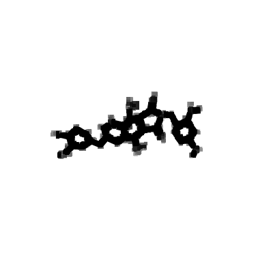 COc1ccc(CN2C(=O)c3c(c(O)c4ncc(Cc5ccc(F)c(Cl)c5)cc4c3O)C2=O)c(OC)c1